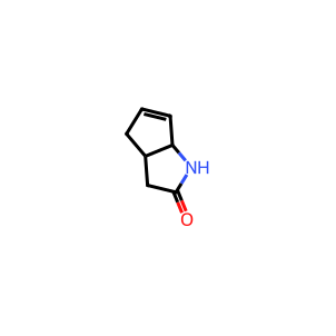 O=C1CC2CC=CC2N1